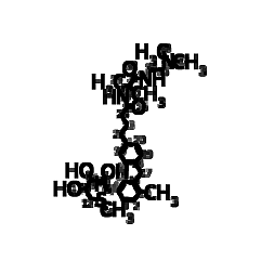 Cc1ccc([C@H]2[C@H](O)[C@H](O)[C@H](O)C[SH]2C)cc1Cc1ccc(CCCC(=O)NC(C)(C)C(=O)NCCN(C)C)cc1